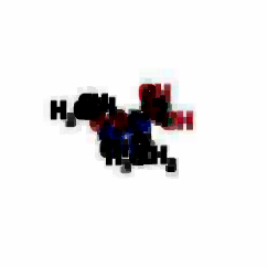 CC1(C)CC=C(c2nc(C3=CC4(CO)C=CC(CO)(C3)O4)ccc2NC(=O)c2nc(C#N)cn2COCC[Si](C)(C)C)CC1